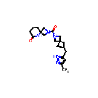 O=C1CCCC2(CN(C(=O)N3CC4(CC(Cc5cc(C(F)(F)F)n[nH]5)C4)C3)C2)N1